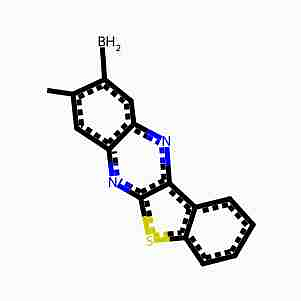 Bc1cc2nc3c(nc2cc1C)sc1ccccc13